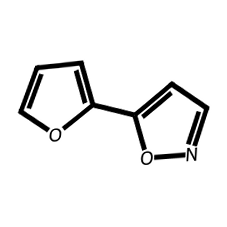 c1coc(-c2ccno2)c1